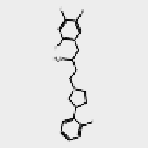 NC(CCN1CCC(c2ccccc2F)C1)Cc1cc(F)c(F)cc1F